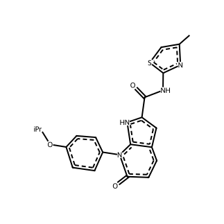 Cc1csc(NC(=O)c2cc3ccc(=O)n(-c4ccc(OC(C)C)cc4)c3[nH]2)n1